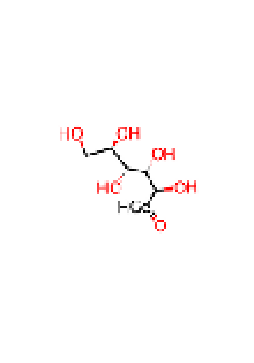 [O]=[GeH][C@H](O)[C@@H](O)[C@H](O)[C@H](O)CO